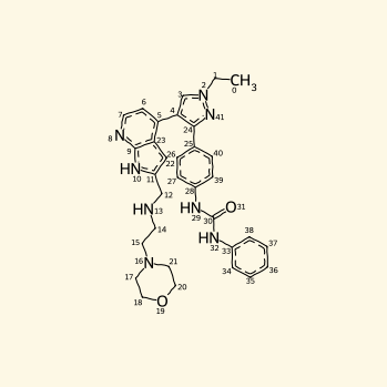 CCn1cc(-c2ccnc3[nH]c(CNCCN4CCOCC4)cc23)c(-c2ccc(NC(=O)Nc3ccccc3)cc2)n1